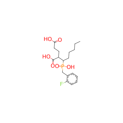 CCCCCC(C(CCC(=O)O)C(=O)O)P(=O)(O)Cc1ccccc1F